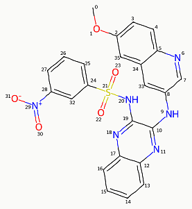 COc1ccc2ncc(Nc3nc4ccccc4nc3NS(=O)(=O)c3cccc([N+](=O)[O-])c3)cc2c1